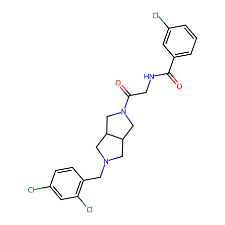 O=C(NCC(=O)N1CC2CN(Cc3ccc(Cl)cc3Cl)CC2C1)c1cccc(Cl)c1